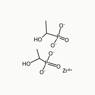 CC(O)P(=O)([O-])[O-].CC(O)P(=O)([O-])[O-].[Zr+4]